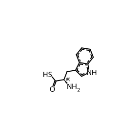 N[C@H](Cc1c[nH]c2ccccc12)C(=O)S